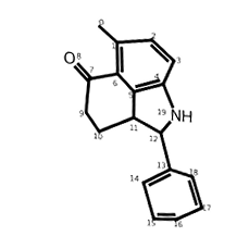 Cc1ccc2c3c1C(=O)CCC3C(c1ccccc1)N2